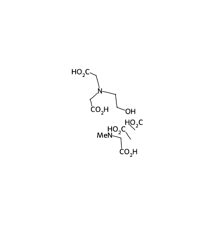 CC(=O)O.CC(=O)O.CNCC(=O)O.O=C(O)CN(CCO)CC(=O)O